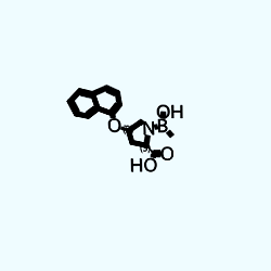 CB(O)N1C[C@H](Oc2cccc3ccccc23)C[C@H]1C(=O)O